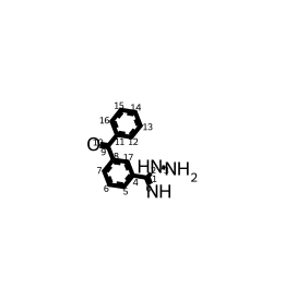 N=C(NN)c1cccc(C(=O)c2ccccc2)c1